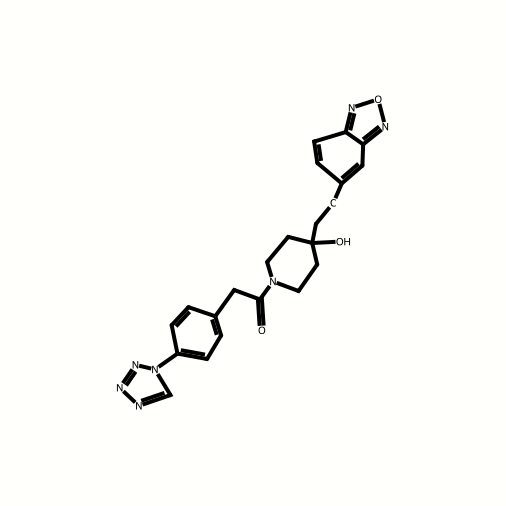 O=C(Cc1ccc(-n2cnnn2)cc1)N1CCC(O)(CCc2ccc3nonc3c2)CC1